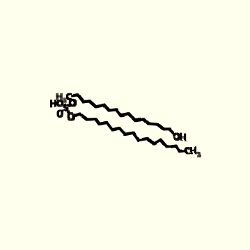 CCCCCCCCCCCCCCCCCOS(=O)(=O)O.CCCCCCCCCCCCCCCCO